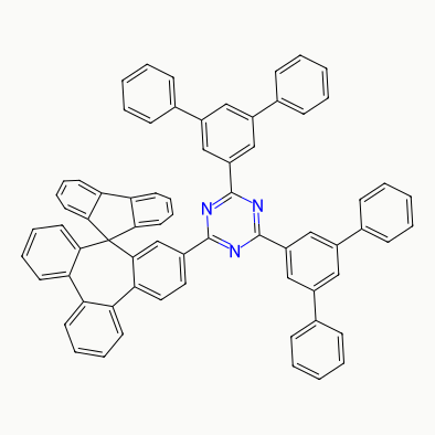 c1ccc(-c2cc(-c3ccccc3)cc(-c3nc(-c4cc(-c5ccccc5)cc(-c5ccccc5)c4)nc(-c4ccc5c(c4)C4(c6ccccc6-c6ccccc6-5)c5ccccc5-c5ccccc54)n3)c2)cc1